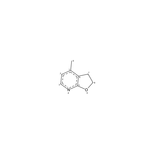 Cc1ccnc2c1CCO2